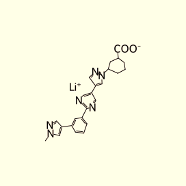 Cn1cc(-c2cccc(-c3ncc(-c4cnn(C5CCCC(C(=O)[O-])C5)c4)cn3)c2)cn1.[Li+]